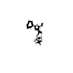 CC[C@@H]1O[C@H](c2ccccc2)C/C1=C(/C)OS(=O)(=O)C(F)(F)F